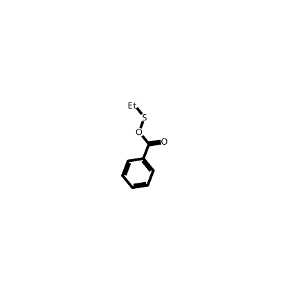 CCSOC(=O)c1ccccc1